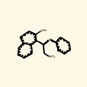 COc1ccc2ccccc2c1C(CN)Sc1ccccc1